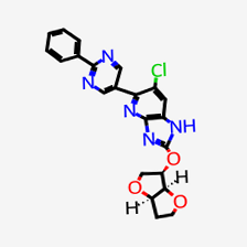 Clc1cc2[nH]c(O[C@@H]3CO[C@@H]4CCO[C@@H]43)nc2nc1-c1cnc(-c2ccccc2)nc1